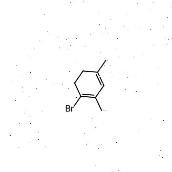 CC1=CC(C)=C(Br)CC1